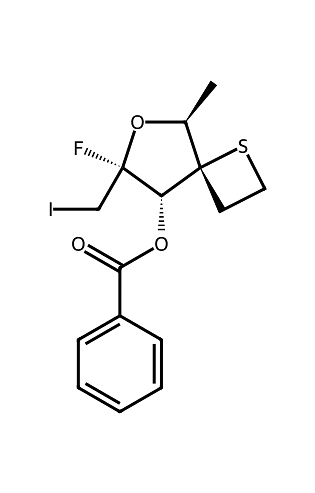 C[C@@H]1O[C@](F)(CI)[C@@H](OC(=O)c2ccccc2)[C@]12CCS2